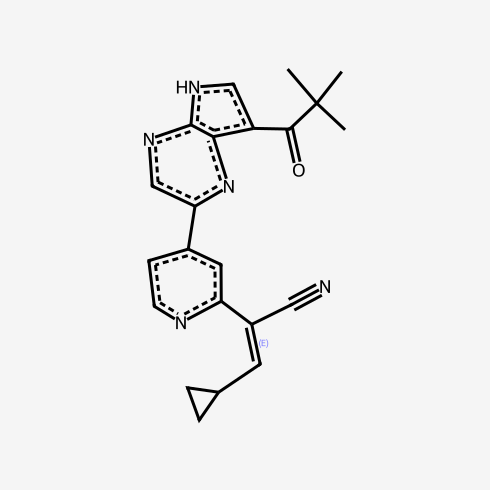 CC(C)(C)C(=O)c1c[nH]c2ncc(-c3ccnc(/C(C#N)=C\C4CC4)c3)nc12